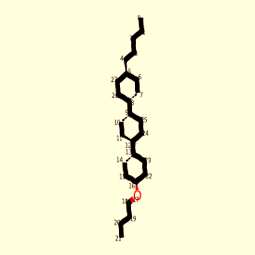 CCCCC[C@H]1CC[C@H]([C@H]2CC[C@H]([C@H]3CC[C@H](OCCCC)CC3)CC2)CC1